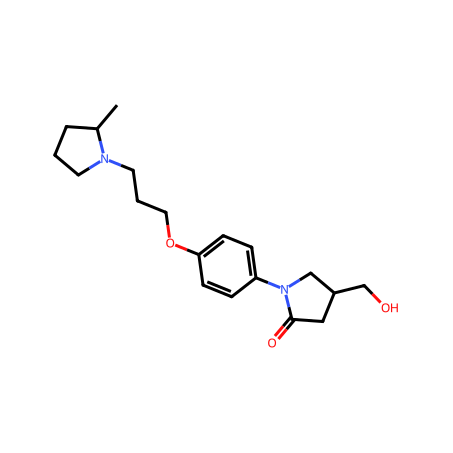 CC1CCCN1CCCOc1ccc(N2CC(CO)CC2=O)cc1